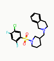 O=S(=O)(c1cc(Cl)c(F)cc1F)N1CCCC(CN2CCc3ccccc3C2)C1